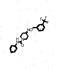 O=C(Nc1ccccc1)N1CCC(=NOCc2cccc(C(F)(F)F)c2)CC1